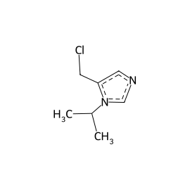 CC(C)n1cncc1CCl